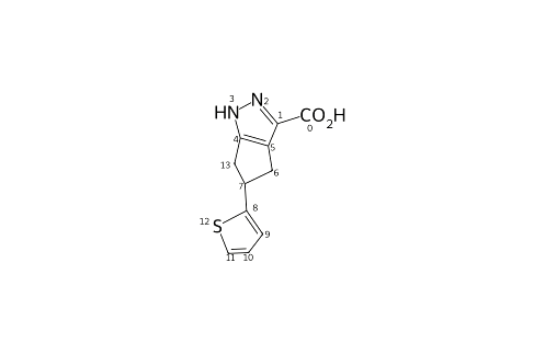 O=C(O)c1n[nH]c2c1CC(c1cccs1)C2